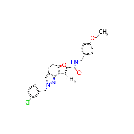 CCOc1ccc(CNC(=O)c2oc3c(c2C)-c2nn(Cc4cccc(Cl)c4)cc2CC3)cc1